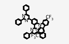 FC(F)(F)c1ccc2c3ccc(C(F)(F)F)cc3n(-c3ccc(-c4cc(-c5ccccc5)nc(-c5ccccc5)n4)cc3-c3nc(-c4ccccc4)cc(-c4ccccc4)n3)c2c1